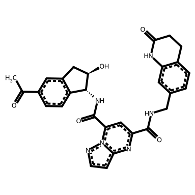 CC(=O)c1ccc2c(c1)C[C@@H](O)[C@@H]2NC(=O)c1cc(C(=O)NCc2ccc3c(c2)NC(=O)CC3)nc2ccnn12